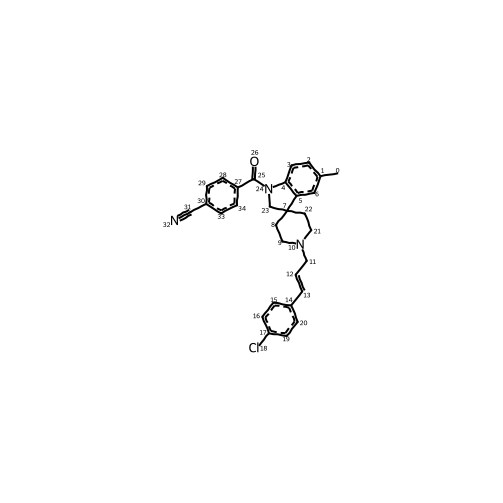 Cc1ccc2c(c1)C1(CCN(C/C=C/c3ccc(Cl)cc3)CC1)CN2C(=O)c1ccc(C#N)cc1